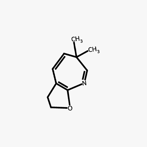 CC1(C)C=CC2=C(N=C1)OCC2